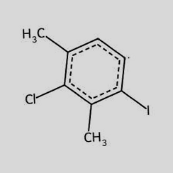 Cc1c[c]c(I)c(C)c1Cl